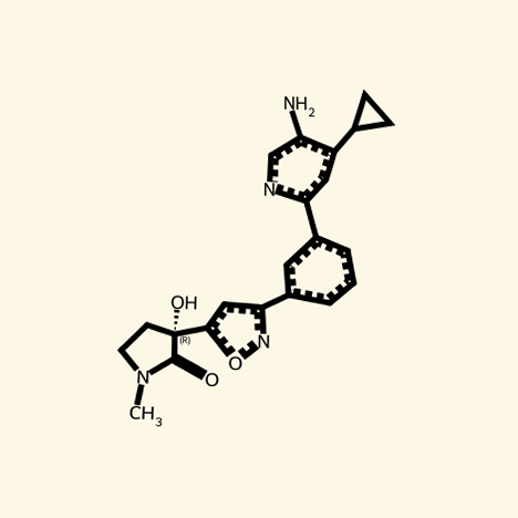 CN1CC[C@@](O)(c2cc(-c3cccc(-c4cc(C5CC5)c(N)cn4)c3)no2)C1=O